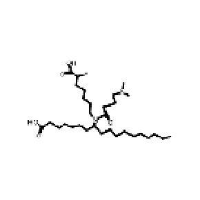 CCCCCCCCCCC(CCCCCCC(=O)O)N(CCCCCC(F)C(=O)O)C(=O)CCCN(C)C